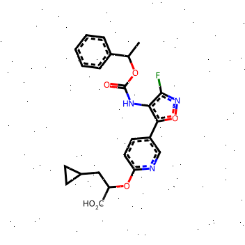 CC(OC(=O)Nc1c(F)noc1-c1ccc(OC(CC2CC2)C(=O)O)nc1)c1ccccc1